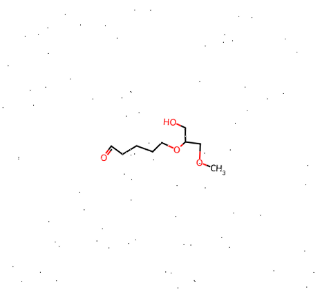 COCC(CO)OCCCCC=O